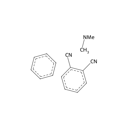 CNC.N#Cc1ccccc1C#N.c1ccccc1